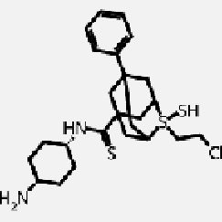 N[C@H]1CC[C@H](NC(=S)C23CC4CC(c5ccccc5)(CC(C2)S4(S)CCCl)C3)CC1